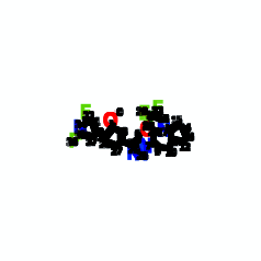 COc1cc(-c2cn(C3CCc4ccccc4N(CC(F)(F)F)C3=O)nn2)ccc1-c1cc(F)nc(F)c1